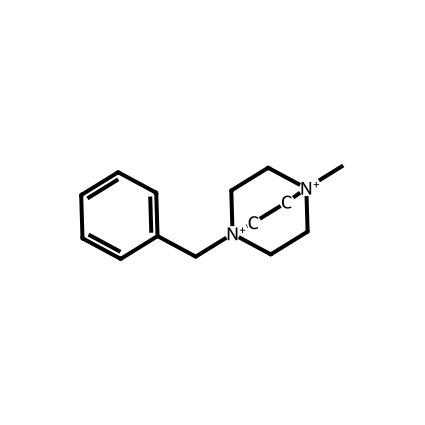 C[N+]12CC[N+](Cc3ccccc3)(CC1)CC2